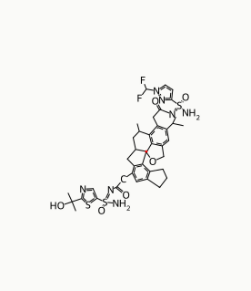 CC(C)c1cc2c(c(C(C)CC3Cc4c(CC(=O)N=S(N)(=O)c5cnc(C(C)(C)O)s5)cc5c(c4C3)CCC5)c1CC(=O)N=S(N)(=O)c1ccn(C(F)F)n1)COC2